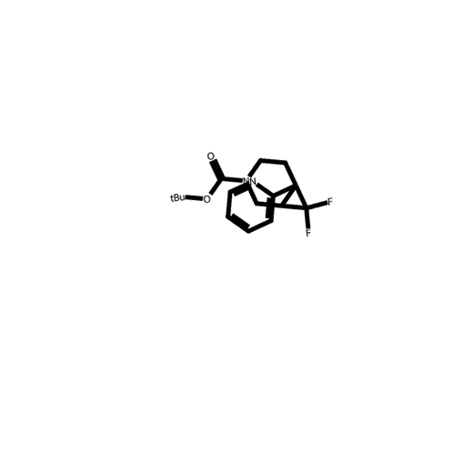 CC(C)(C)OC(=O)N1CCC2(c3ccccn3)C(C1)C2(F)F